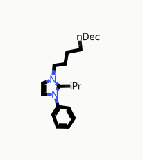 CCCCCCCCCCCCCCN1C=CN(c2ccccc2)C1C(C)C